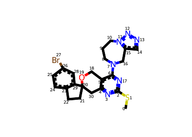 CSc1nc2c(c(N3CCCn4nncc4C3)n1)COC1(CCc3ccc(Br)cc31)C2